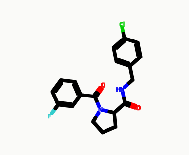 O=C(NCc1ccc(Cl)cc1)C1CCCN1C(=O)c1cccc(F)c1